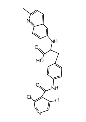 Cc1ccc2cc(NC(Cc3ccc(NC(=O)c4c(Cl)cncc4Cl)cc3)C(=O)O)ccc2n1